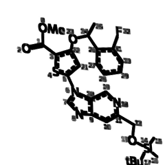 COC(=O)c1sc(-n2cnc3cc(CO[Si](C)(C)C(C)(C)C)ncc32)cc1OC(C)c1ccccc1F